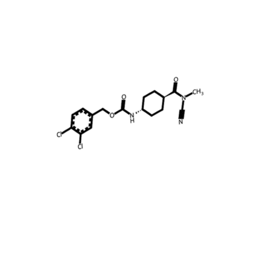 CN(C#N)C(=O)[C@H]1CC[C@H](NC(=O)OCc2ccc(Cl)c(Cl)c2)CC1